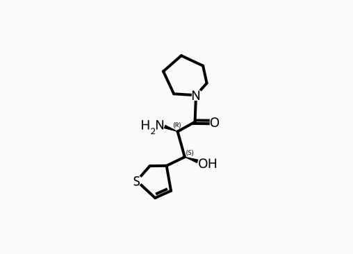 N[C@@H](C(=O)N1CCCCC1)[C@@H](O)C1C=CSC1